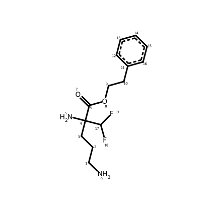 NCCCC(N)(C(=O)OCCc1ccccc1)C(F)F